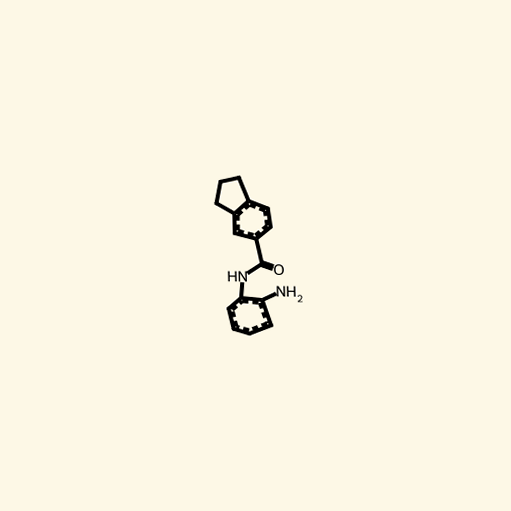 Nc1ccccc1NC(=O)c1ccc2c(c1)CCC2